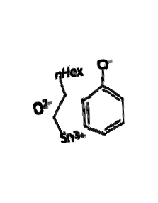 CCCCCCC[CH2][Sn+3].[O-2].[O-]c1ccccc1